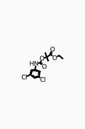 CCOC(=O)C(C)(C)OC(=O)Nc1cc(Cl)cc(Cl)c1